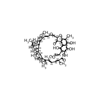 CO/N=C/c1c2c(O)c3c(O)c(C)c4c(c3c1O)C(=O)[C@@H](O/C=C/[C@H](OC)[C@@H](C)[C@@H](OC(C)=O)[C@H](C)[C@H](O)[C@H](C)[C@@H](O)[C@@H](C)/C=C/C=C(/C)C(=O)N2)O4